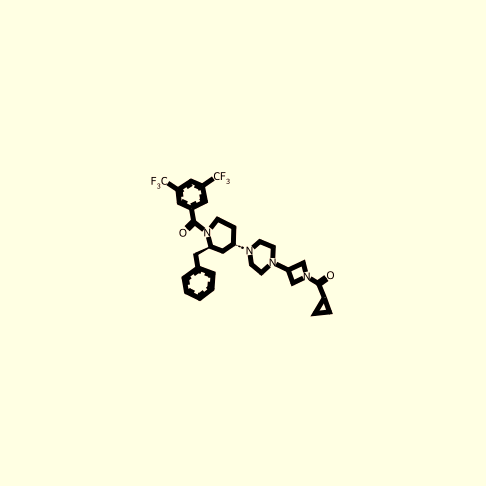 O=C(C1CC1)N1CC(N2CCN([C@H]3CCN(C(=O)c4cc(C(F)(F)F)cc(C(F)(F)F)c4)[C@H](Cc4ccccc4)C3)CC2)C1